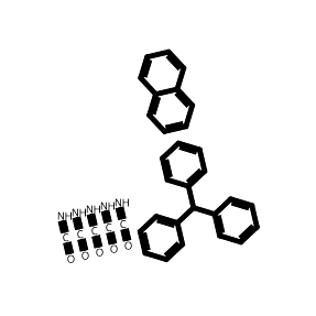 N=C=O.N=C=O.N=C=O.N=C=O.N=C=O.c1ccc(C(c2ccccc2)c2ccccc2)cc1.c1ccc2ccccc2c1